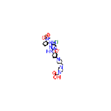 COc1cc(N2CCC(CN3CCN(CC(=O)O)CC3)CC2)ccc1Nc1ncc(Cl)c(Nc2ccccc2N(C)S(C)(=O)=O)n1